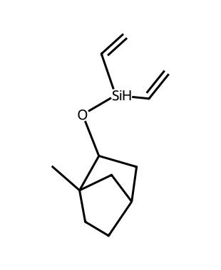 C=C[SiH](C=C)OC1CC2CCC1(C)C2